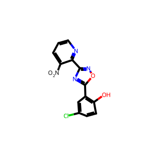 O=[N+]([O-])c1cccnc1-c1noc(-c2cc(Cl)ccc2O)n1